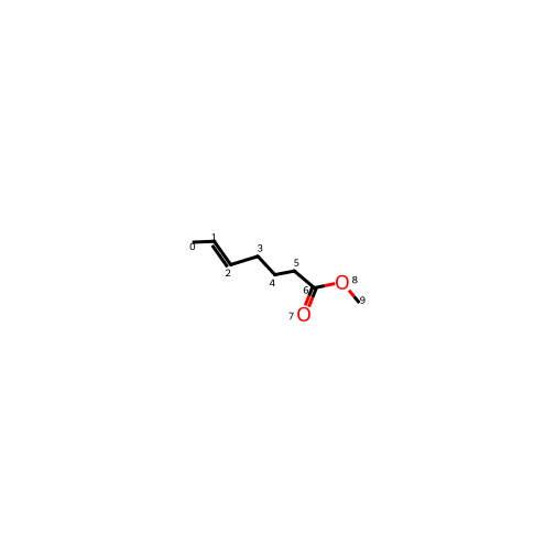 CC=CCCCC(=O)OC